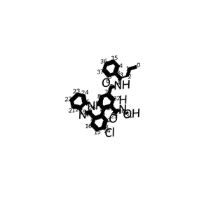 CCC[C@@H](NC(=O)c1ccc(-c2cc(Cl)ccc2-c2nc3ccccc3[nH]2)c(C(=O)NO)c1)c1ccccc1